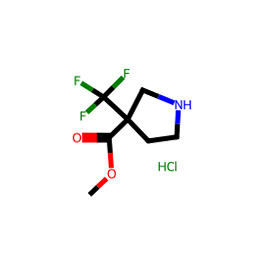 COC(=O)C1(C(F)(F)F)CCNC1.Cl